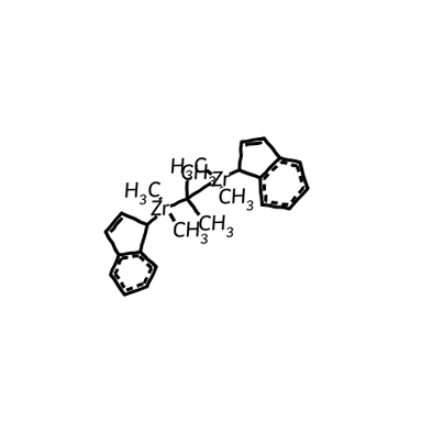 C[C](C)([Zr]([CH3])([CH3])[CH]1C=Cc2ccccc21)[Zr]([CH3])([CH3])[CH]1C=Cc2ccccc21